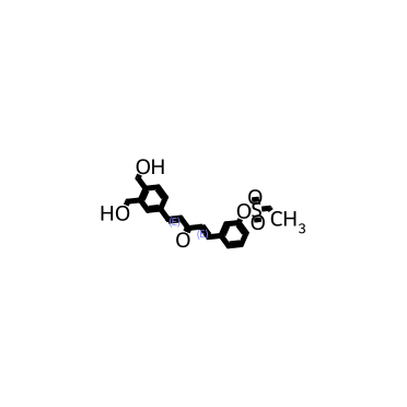 CCS(=O)(=O)Oc1cccc(/C=C/C(=O)/C=C/c2ccc(CO)c(CO)c2)c1